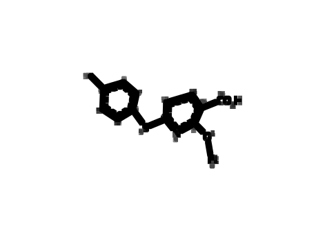 CCOc1nc(Sc2ccc(C)cc2)ccc1C(=O)O